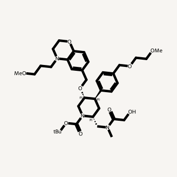 COCCCN1CCOc2ccc(CO[C@H]3CN(C(=O)OC(C)(C)C)[C@@H](CN(C)C(=O)CO)C[C@@H]3c3ccc(COCCOC)cc3)cc21